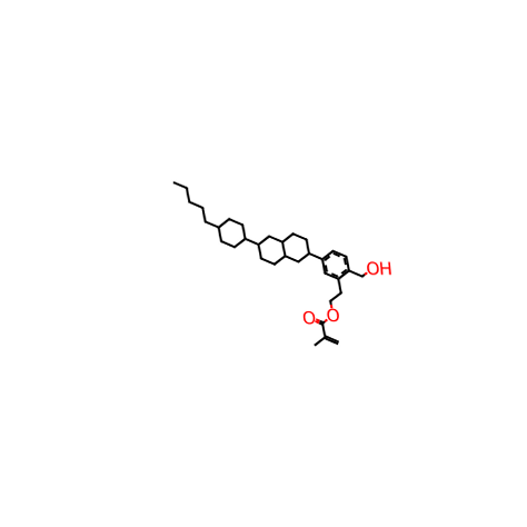 C=C(C)C(=O)OCCc1cc(C2CCC3CC(C4CCC(CCCCC)CC4)CCC3C2)ccc1CO